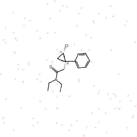 CCN(CC)C(=O)C[C@]1(c2ccccc2)C[C@@H]1Cl